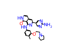 Cc1ccc(Nc2nc(-c3cnc(N)nc3)cc3cc[nH]c(=O)c23)cc1OCCN1CCCC1